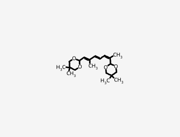 C/C(=C/C=C/C(C)=C/C1OCC(C)(C)CO1)C1OCC(C)(C)CO1